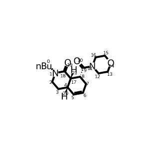 CCCCN1CC[C@H]2C=CC[C@@H](C(=O)N3CCOCC3)[C@H]2C1=O